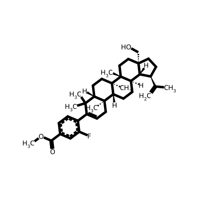 C=C(C)[C@@H]1CC[C@]2(CO)CC[C@]3(C)[C@H](CC[C@@H]4[C@@]5(C)CC=C(c6ccc(C(=O)OC)cc6F)C(C)(C)[C@@H]5CC[C@]43C)[C@@H]12